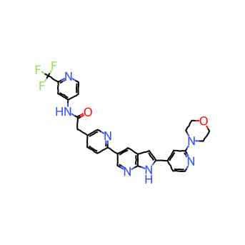 O=C(Cc1ccc(-c2cnc3[nH]c(-c4ccnc(N5CCOCC5)c4)cc3c2)nc1)Nc1ccnc(C(F)(F)F)c1